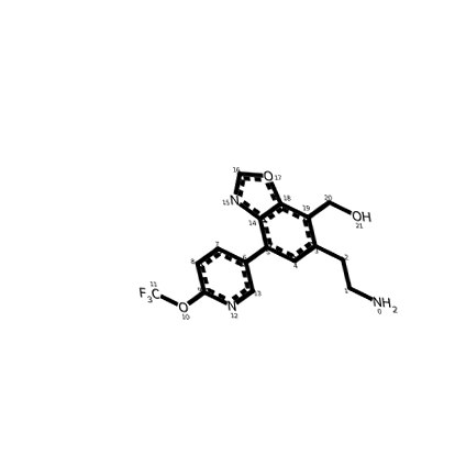 NCCc1cc(-c2ccc(OC(F)(F)F)nc2)c2ncoc2c1CO